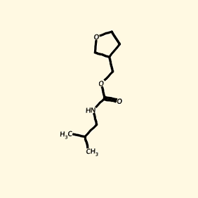 CC(C)CNC(=O)OCC1CCOC1